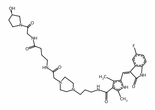 Cc1[nH]c(/C=C2\C(=O)Nc3ccc(F)cc32)c(C)c1C(=O)NCCCN1CCN(CC(=O)NCCCC(=O)NCC(=O)N2CC[C@@H](O)C2)CC1